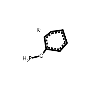 POc1ccccc1.[K]